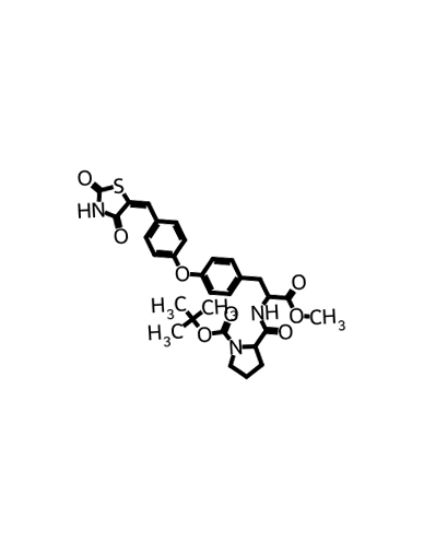 COC(=O)C(Cc1ccc(Oc2ccc(/C=C3/SC(=O)NC3=O)cc2)cc1)NC(=O)C1CCCN1C(=O)OC(C)(C)C